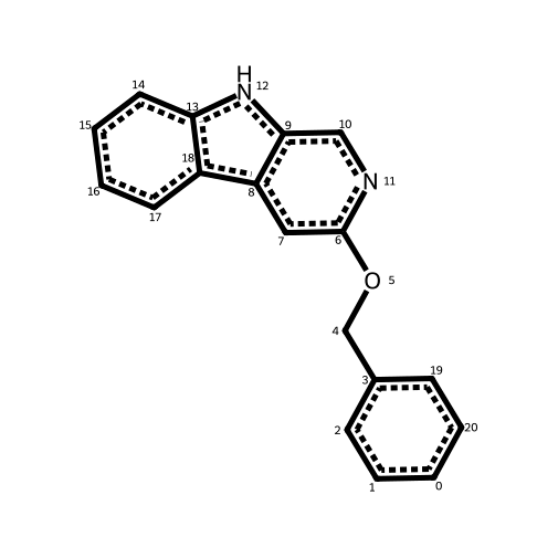 c1ccc(COc2cc3c(cn2)[nH]c2ccccc23)cc1